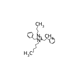 CCCCCC[n+]1c(CC(C)c2ccccc2)cn(CCCCC)c1Cc1ccccc1